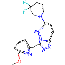 COc1cccc(-c2nnc3ccc(N4CCCC(F)(F)C4)nn23)n1